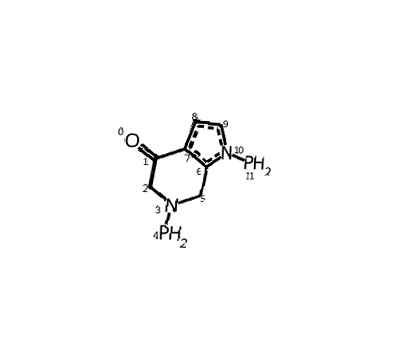 O=C1CN(P)Cc2c1ccn2P